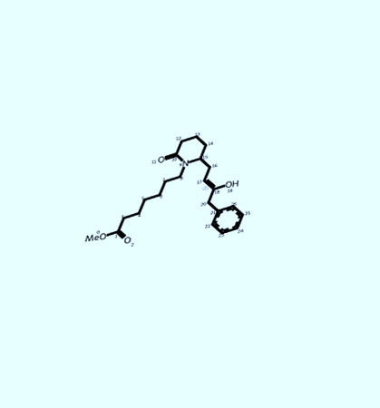 COC(=O)CCCCCCN1C(=O)CCCC1C/C=C(\O)Cc1ccccc1